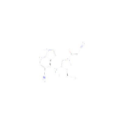 CC[C@@H]1CN(C(=O)CC#N)CC1N(C)c1c(C#N)cnc2[nH]ccc12